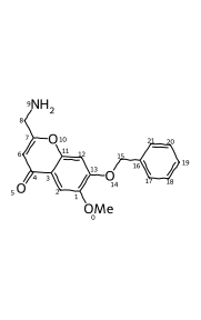 COc1cc2c(=O)cc(CN)oc2cc1OCc1ccccc1